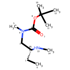 CC[C@H](CN(C)C(=O)OC(C)(C)C)NC